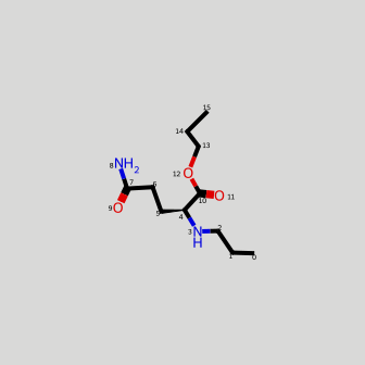 CCCN[C@@H](CCC(N)=O)C(=O)OCCC